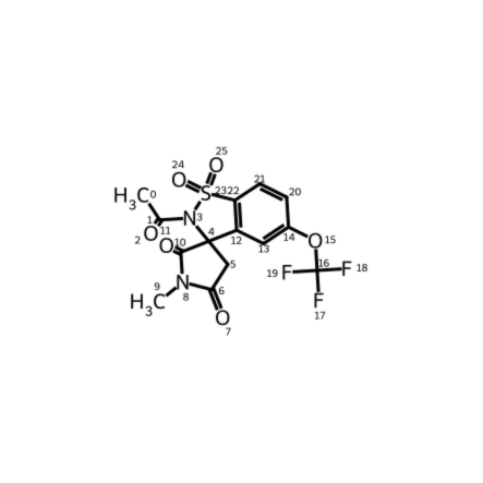 CC(=O)N1C2(CC(=O)N(C)C2=O)c2cc(OC(F)(F)F)ccc2S1(=O)=O